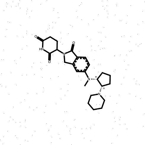 CN(c1ccc2c(c1)CN(C1CCC(=O)NC1=O)C2=O)[C@@H]1CCC[C@@H]1N1CCCCC1